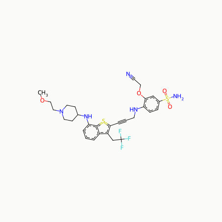 COCCN1CCC(Nc2cccc3c(CC(F)(F)F)c(C#CCNc4ccc(S(N)(=O)=O)cc4OCC#N)sc23)CC1